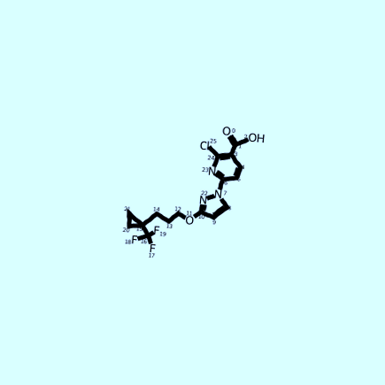 O=C(O)c1ccc(-n2ccc(OCCCC3(C(F)(F)F)CC3)n2)nc1Cl